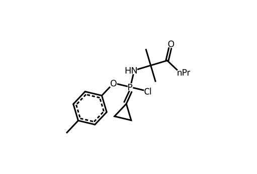 CCCC(=O)C(C)(C)NP(Cl)(Oc1ccc(C)cc1)=C1CC1